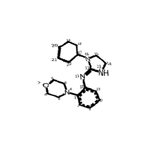 c1ccc(N2CCOCC2)c(/N=C2\NCCN2C2CCCCC2)c1